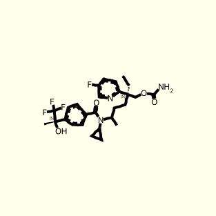 CC[C@@](CCC(C)N(C(=O)c1ccc([C@](C)(O)C(F)(F)F)cc1)C1CC1)(COC(N)=O)c1ccc(F)cn1